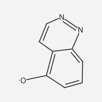 [O]c1cccc2nnccc12